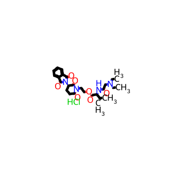 CCN(CC)CC(=O)NC(C(=O)OCCN1C(=O)CC[C@H](N2C(=O)c3ccccc3C2=O)C1=O)C(C)C.Cl